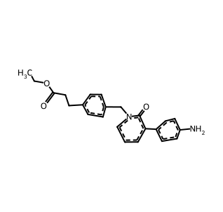 CCOC(=O)CCc1ccc(Cn2cccc(-c3ccc(N)cc3)c2=O)cc1